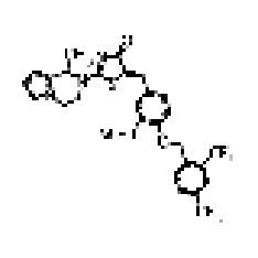 COc1cc(C=C2SC(N3CCn4cccc4C3C)=NC2=O)ccc1OCc1ccc(C(F)(F)F)cc1C(F)(F)F